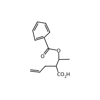 C=CCC(C(=O)O)C(C)OC(=O)c1ccccc1